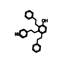 N.Oc1ccc(CCc2ccccc2)c(CCc2ccccc2)c1CCc1ccccc1